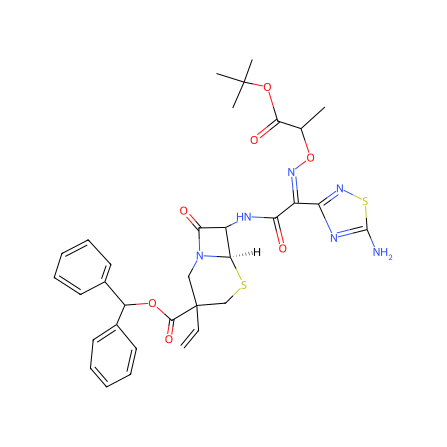 C=CC1(C(=O)OC(c2ccccc2)c2ccccc2)CS[C@@H]2C(NC(=O)C(=NOC(C)C(=O)OC(C)(C)C)c3nsc(N)n3)C(=O)N2C1